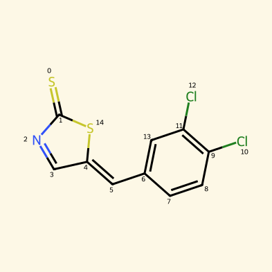 S=C1N=CC(=Cc2ccc(Cl)c(Cl)c2)S1